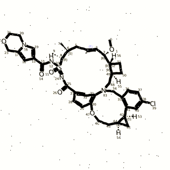 CO[C@H]1/C=C/C[C@H](C)[C@@H](C)S(=O)(NC(=O)c2cc3n(c2)CCOC3)=NC(=O)c2ccc3c(c2)N(Cc2ccc(Cl)cc2[C@H]2C[C@H]2CCO3)C[C@@H]2CC[C@H]21